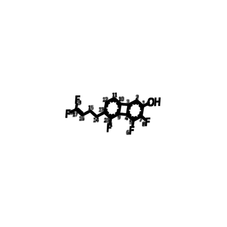 Oc1cc2c(c(F)c1F)-c1c-2ccc(CCC=C(F)F)c1F